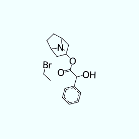 CCBr.CN1C2CCC1CC(OC(=O)C(O)c1ccccc1)C2